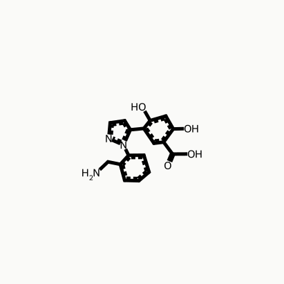 NCc1ccccc1-n1nccc1-c1cc(C(=O)O)c(O)cc1O